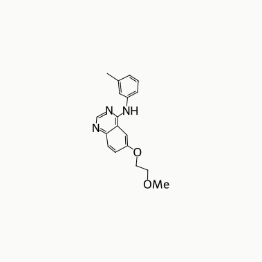 COCCOc1ccc2ncnc(Nc3cccc(C)c3)c2c1